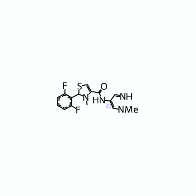 CN/C=C(\C=N)NC(=O)C1=CSC(c2c(F)cccc2F)N1C